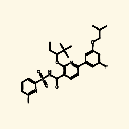 CCC(Oc1nc(-c2cc(F)cc(OCC(C)C)c2)ccc1C(=O)NS(=O)(=O)c1cccc(C)n1)C(C)(C)C